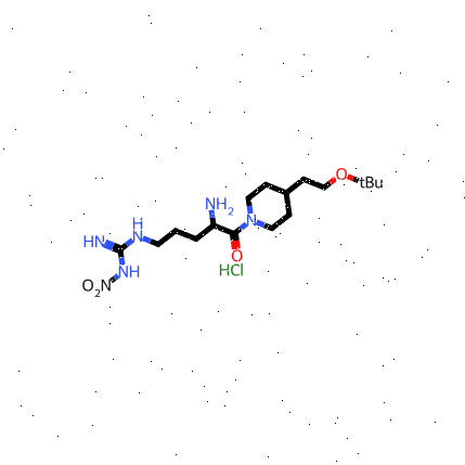 CC(C)(C)OCCC1CCN(C(=O)C(N)CCCNC(=N)N[N+](=O)[O-])CC1.Cl